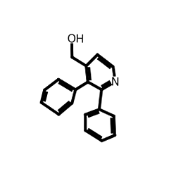 OCc1ccnc(-c2ccccc2)c1-c1ccccc1